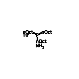 CCCCCCCCP(CCCCCCCC)CCCCCCCC.F.N